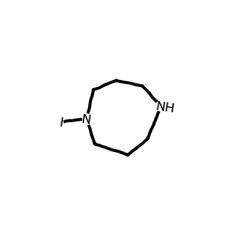 IN1CCCNCCC1